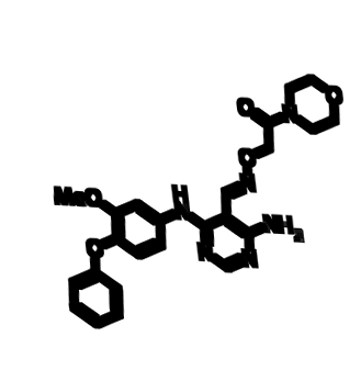 COc1cc(Nc2ncnc(N)c2C=NOCC(=O)N2CCOCC2)ccc1Oc1ccccc1